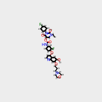 CCn1cc(OC(=O)Nc2ccc(Oc3ccnc4cc(OCCCN5CCOCC5)c(OC)cc34)c(F)c2)c(=O)n(-c2ccc(F)cc2)c1=O